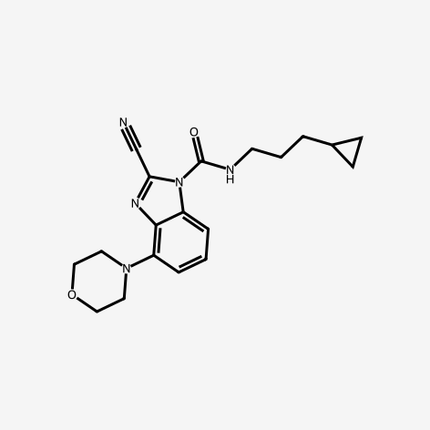 N#Cc1nc2c(N3CCOCC3)cccc2n1C(=O)NCCCC1CC1